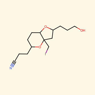 N#CCCC1CCC2OC(CCCO)CC2(CI)O1